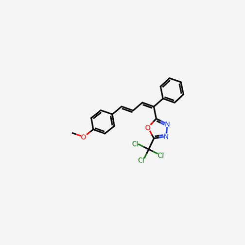 COc1ccc(/C=C/C=C(/c2ccccc2)c2nnc(C(Cl)(Cl)Cl)o2)cc1